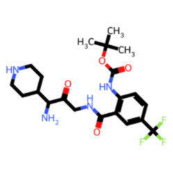 CC(C)(C)OC(=O)Nc1ccc(C(F)(F)F)cc1C(=O)NCC(=O)C(N)C1CCNCC1